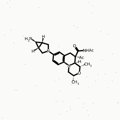 CC(=O)NC(=O)[C@]1(C(C)=O)Cc2cc(N3C[C@@H]4[C@@H](N)[C@@H]4C3)ccc2N2C[C@@H](C)O[C@@H](C)[C@@H]21